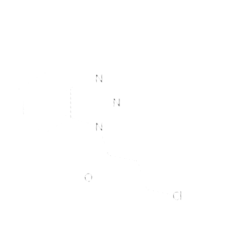 O=C(CCCl)n1nnc2ccccc21